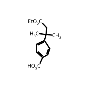 CCOC(=O)CC(C)(C)c1ccc(C(=O)O)cc1